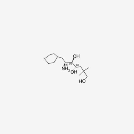 CC(C)(CO)C[C@H](O)[C@H](O)[C@@H](N)CC1CCCCC1